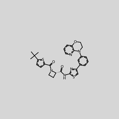 CC(C)(C)c1ccc(C(=O)N2CC[C@H]2C(=O)Nc2nc(-c3cccc(N4CCOc5cccnc54)c3)cs2)s1